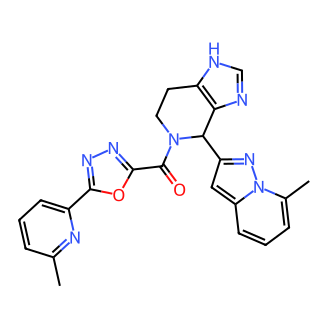 Cc1cccc(-c2nnc(C(=O)N3CCc4[nH]cnc4C3c3cc4cccc(C)n4n3)o2)n1